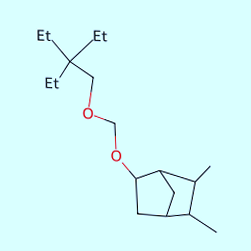 CCC(CC)(CC)COCOC1CC2CC1C(C)C2C